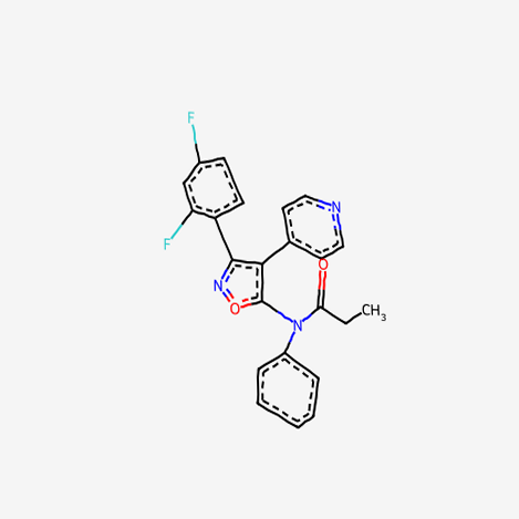 CCC(=O)N(c1ccccc1)c1onc(-c2ccc(F)cc2F)c1-c1ccncc1